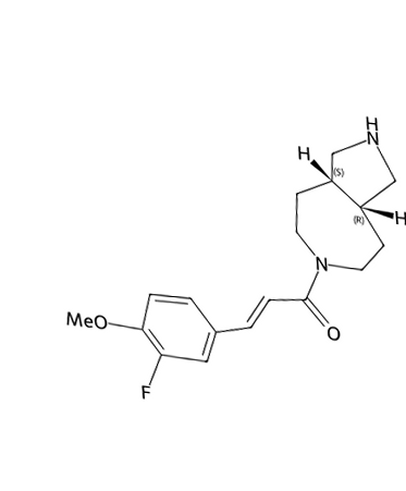 COc1ccc(C=CC(=O)N2CC[C@@H]3CNC[C@@H]3CC2)cc1F